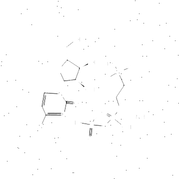 C[N+](C)(C)CCOP(=O)(O)OP(=O)(O)O.N.Nc1ccn([C@@H]2O[C@H](CO)[C@@H](O)[C@H]2O)c(=O)n1